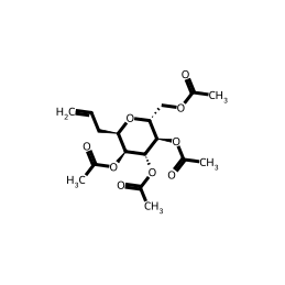 C=CC[C@H]1O[C@H](COC(C)=O)[C@@H](OC(C)=O)[C@H](OC(C)=O)[C@H]1OC(C)=O